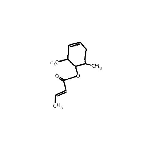 C/C=C/C(=O)OC1C(C)C=CCC1C